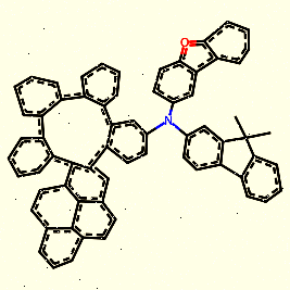 CC1(C)c2ccccc2-c2ccc(N(c3ccc4oc5ccccc5c4c3)c3ccc4c(c3)c3ccccc3c3ccccc3c3ccccc3c3c4cc4ccc5cccc6ccc3c4c56)cc21